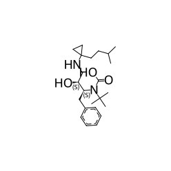 CC(C)CCC1(NC[C@H](O)[C@H](Cc2ccccc2)N(C(=O)O)C(C)(C)C)CC1